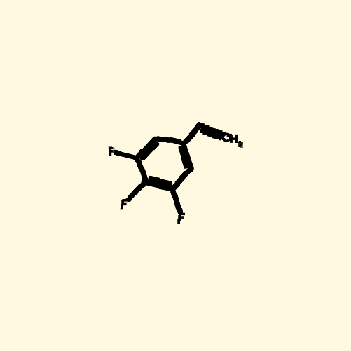 C=Cc1cc(F)c(F)c(F)c1